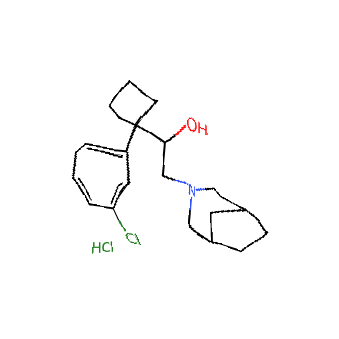 Cl.OC(CN1CC2CCC(C2)C1)C1(c2cccc(Cl)c2)CCC1